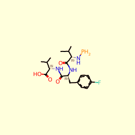 CC(C)[C@H](NC(=O)[C@H](Cc1ccc(F)cc1)NC(=O)[C@@H](NP)C(C)C)C(=O)O